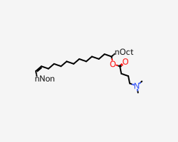 CCCCCCCCC/C=C\CCCCCCCCCCC(CCCCCCCC)OC(=O)CCCN(C)C